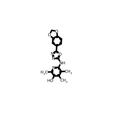 Cc1nc(Nc2nnc(-c3ccc4c(c3)OCO4)o2)c(C)c(C)c1O